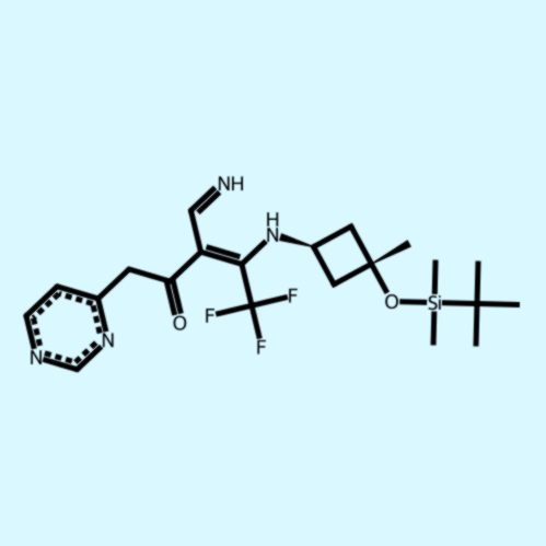 CC(C)(C)[Si](C)(C)O[C@]1(C)C[C@@H](N/C(=C(\C=N)C(=O)Cc2ccncn2)C(F)(F)F)C1